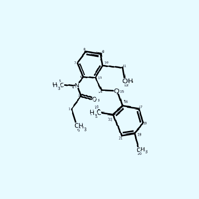 CCC(=O)N(C)c1cccc(CO)c1COc1ccc(C)cc1C